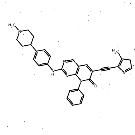 CC1=C(C#Cc2cc3cnc(Nc4ccc(C5CCN(C)CC5)cc4)nc3n(-c3ccccc3)c2=O)N=CC1